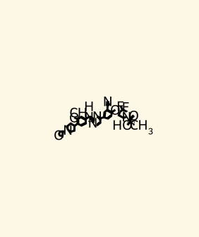 COc1cc(Nc2nccc(-c3ccc(OC4CCN(C(=O)[C@@H](C)O)CC4(F)F)c(C#N)c3)n2)ccc1C1CCN(C2COC2)CC1